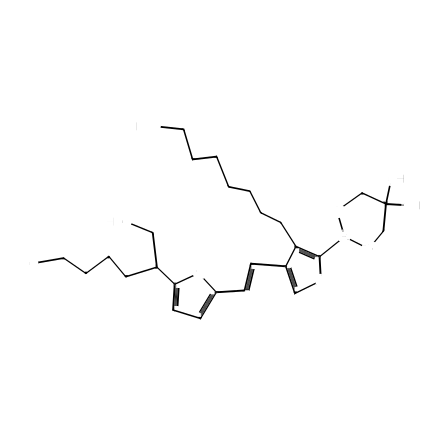 CCCCCCCCc1c(C=Cc2ccc(C(CC)CCCCC)s2)csc1B1OCC(C)(C)CO1